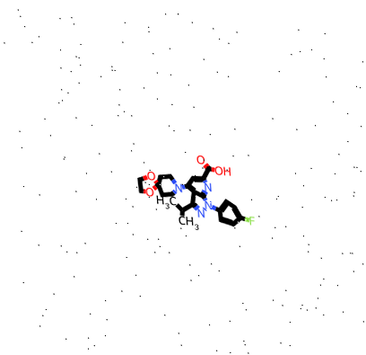 CC(C)c1nn(-c2ccc(F)cc2)c2nc(C(=O)O)cc(N3CCC4(CC3)OCCO4)c12